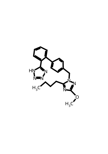 CCCCc1nc(OC)nn1Cc1ccc(-c2ccccc2-c2nnn[nH]2)cc1